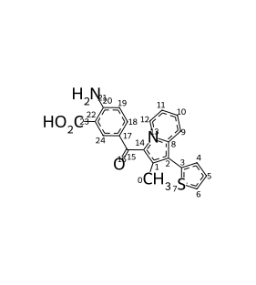 Cc1c(-c2cccs2)c2ccccn2c1C(=O)c1ccc(N)c(C(=O)O)c1